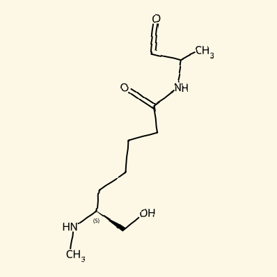 CN[C@H](CO)CCCCC(=O)NC(C)C=O